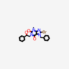 Cn1c(=O)n(CC(=O)c2ccccc2)c(=O)c2c1nc(Br)n2Cc1ccccc1